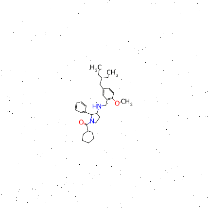 CCC(CC)Cc1ccc(OC)c(CNC2CCN(C(=O)C3CCCCC3)C2c2ccccc2)c1